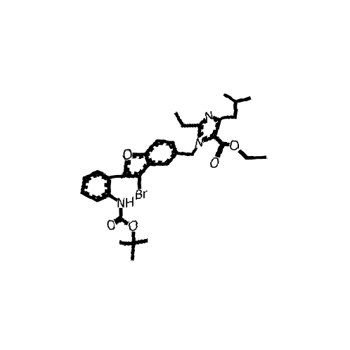 CCOC(=O)c1c(CC(C)C)nc(CC)n1Cc1ccc2oc(-c3ccccc3NC(=O)OC(C)(C)C)c(Br)c2c1